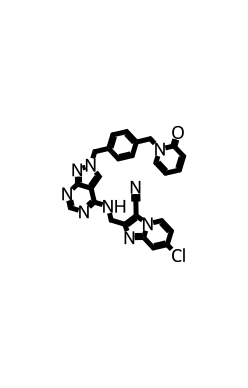 N#Cc1c(CNc2ncnc3nn(Cc4ccc(Cn5ccccc5=O)cc4)cc23)nc2cc(Cl)ccn12